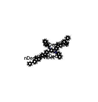 CCCCCCCCCCC1(CCCCCCCCCC)c2cc(-c3ccccc3)ccc2-c2ccc(-c3ccc4c(c3)C(CCCCCCCCCC)(CCCCCCCCCC)c3cc(-c5cc(/C=C/c6ccc7ccccc7n6)c(-c6ccc7c(c6)C(CCCCCCCCCC)(CCCCCCCCCC)c6cc(-c8ccc(-c9ccccc9)c9nsnc89)ccc6-7)cc5/C=C/c5ccc6ccccc6n5)ccc3-4)cc21